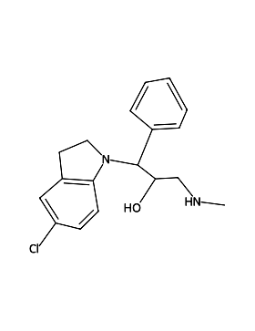 CNCC(O)C(c1ccccc1)N1CCc2cc(Cl)ccc21